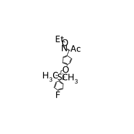 CCON=C(C(C)=O)c1ccc(OC[Si](C)(C)c2ccc(F)cc2)cc1